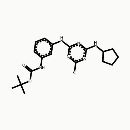 CC(C)(C)OC(=O)Nc1cccc(Nc2nc(Cl)nc(NC3CCCC3)n2)c1